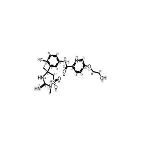 CN1C(=N)N[C@](C)(c2cc(NC(=O)c3ccc(OCCO)cn3)ccc2F)CS1(=O)=O